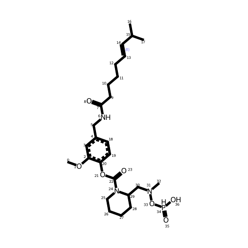 COc1cc(CNC(=O)CCCC/C=C/C(C)C)ccc1OC(=O)N1CCCCC1CN(C)O[PH](=O)O